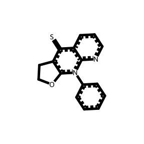 S=c1c2c(n(-c3ccccc3)c3ncccc13)OCC2